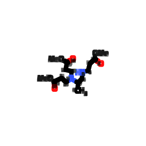 COC(=O)CCNCC(C)N(CCC(=O)OC)CCC(=O)OC